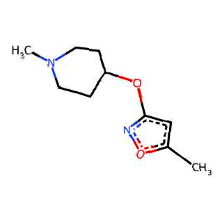 Cc1cc(OC2CCN(C)CC2)no1